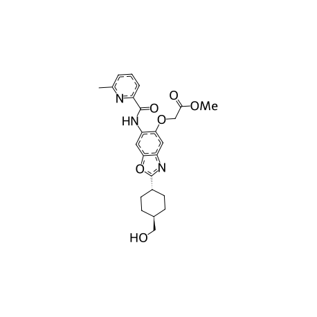 COC(=O)COc1cc2nc([C@H]3CC[C@H](CO)CC3)oc2cc1NC(=O)c1cccc(C)n1